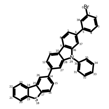 Brc1cccc(-c2ccc3c4ccc(-c5ccc6sc7ccccc7c6c5)cc4n(-c4ccccc4)c3c2)c1